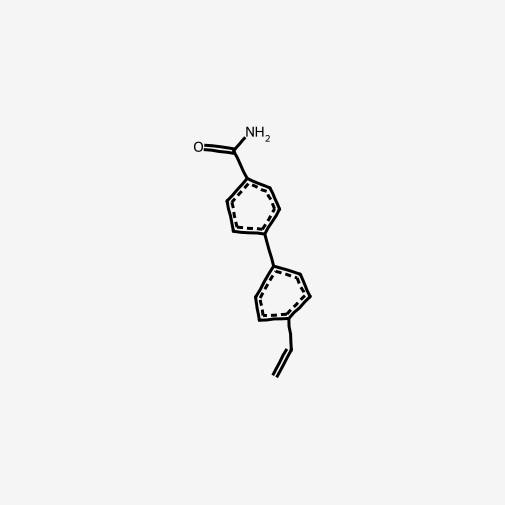 C=Cc1ccc(-c2ccc(C(N)=O)cc2)cc1